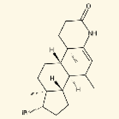 CC1C=C2NC(=O)CC[C@]2(C)[C@H]2CC[C@]3(C)[C@@H](C(C)C)CC[C@H]3[C@H]12